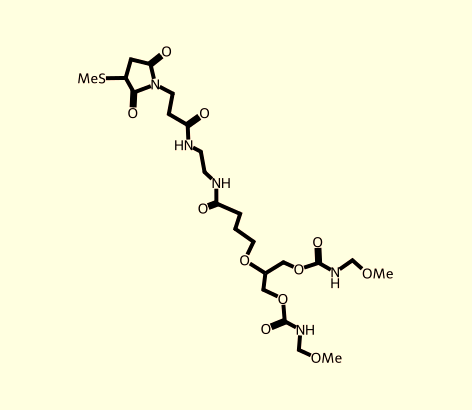 COCNC(=O)OCC(COC(=O)NCOC)OCCCC(=O)NCCNC(=O)CCN1C(=O)CC(SC)C1=O